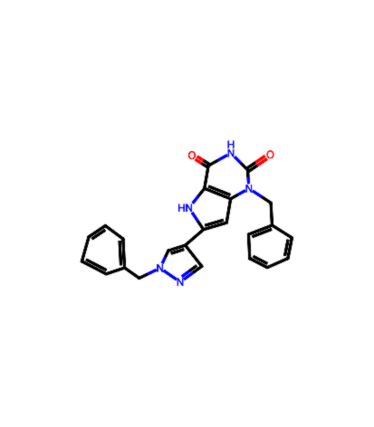 O=c1[nH]c(=O)n(Cc2ccccc2)c2cc(-c3cnn(Cc4ccccc4)c3)[nH]c12